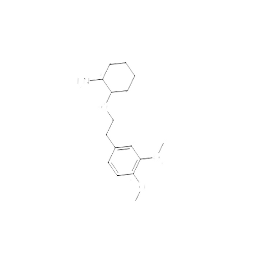 COc1ccc(CCOC2CCCCC2N)cc1OC